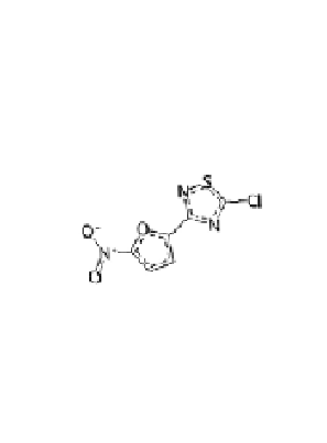 O=[N+]([O-])c1ccc(-c2nsc(Cl)n2)o1